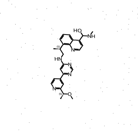 CNC(O)c1ccnc2c([C@H](C)CNc3cc(-c4ccnc([C@H](C)OC)c4)ncn3)cccc12